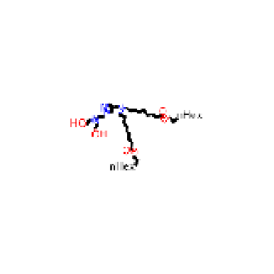 CCCCCC/C=C\COC(=O)CCCCCCCCN(CCCCCCCCC(=O)OC/C=C\CCCCCC)Cc1cnn(CCN(CCO)CCO)c1